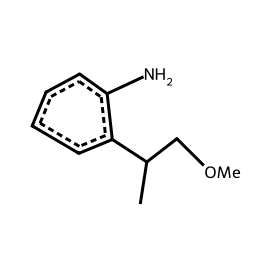 COCC(C)c1ccccc1N